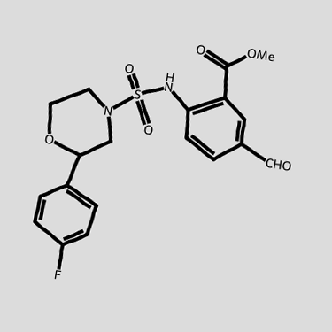 COC(=O)c1cc(C=O)ccc1NS(=O)(=O)N1CCOC(c2ccc(F)cc2)C1